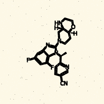 C[C@@H](c1ccc(C#N)cn1)n1c(N2CC[C@@H]3OCCN[C@H]3C2)nc2cc(F)cc(F)c21